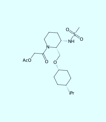 CC(=O)OCC(=O)N1CCC[C@H](NS(C)(=O)=O)[C@@H]1CO[C@H]1CC[C@@H](C(C)C)CC1